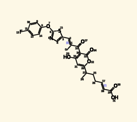 C/C(=C\c1cnc(Oc2ccc(F)cc2)s1)C(=O)c1c(O)cc(C(C)CC/C=C/C(=O)O)oc1=O